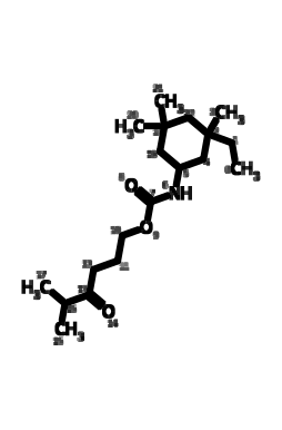 CCC1(C)CC(NC(=O)OCCCC(=O)C(C)C)CC(C)(C)C1